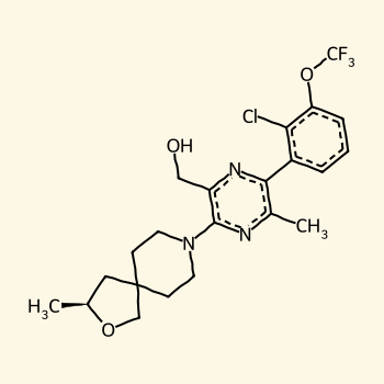 Cc1nc(N2CCC3(CC2)CO[C@@H](C)C3)c(CO)nc1-c1cccc(OC(F)(F)F)c1Cl